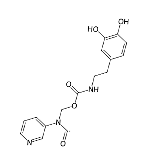 O=[C]N(COC(=O)NCCc1ccc(O)c(O)c1)c1cccnc1